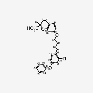 CC1(C(=O)O)CCc2ccc(OCCCOc3ccc(Oc4ccccc4)cc3Cl)cc2O1